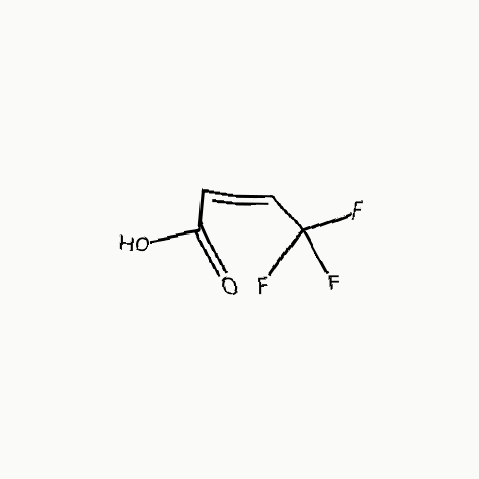 O=C(O)/C=C\C(F)(F)F